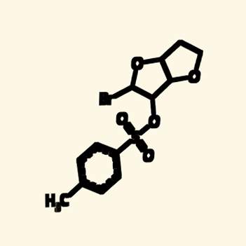 Cc1ccc(S(=O)(=O)OC2C(Br)OC3CCOC32)cc1